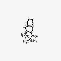 CC(N)(N)C(=O)c1cc2ccccc2cc1O